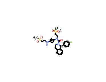 CS(=O)(=O)CCNC12CC(N(CCS(C)(=O)=O)C(=O)N3CCc4ccccc4[C@@H]3c3ccc(F)cc3)(C1)C2